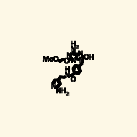 COCCOc1nc(N)c2nc(O)n(Cc3ccc(C(=O)NCCc4ccnc(N)c4)cc3)c2n1